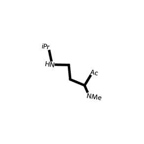 CNC(CCNC(C)C)C(C)=O